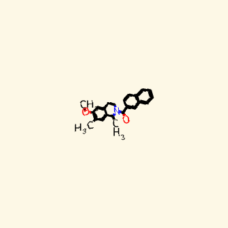 COc1cc2c(cc1C)C(C)N(C(=O)c1ccc3ccccc3c1)CC2